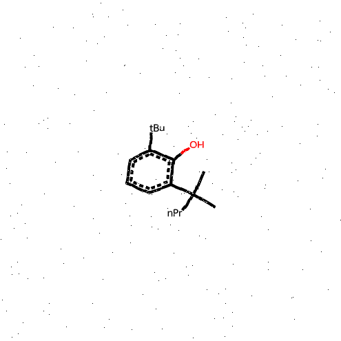 CCCC(C)(C)c1cccc(C(C)(C)C)c1O